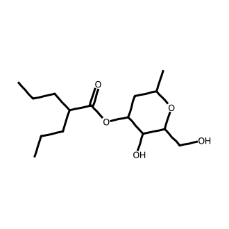 CCCC(CCC)C(=O)OC1CC(C)OC(CO)C1O